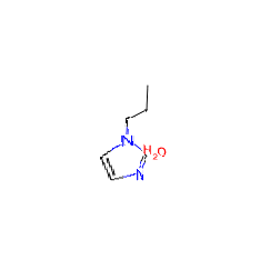 CCCn1ccnc1.O